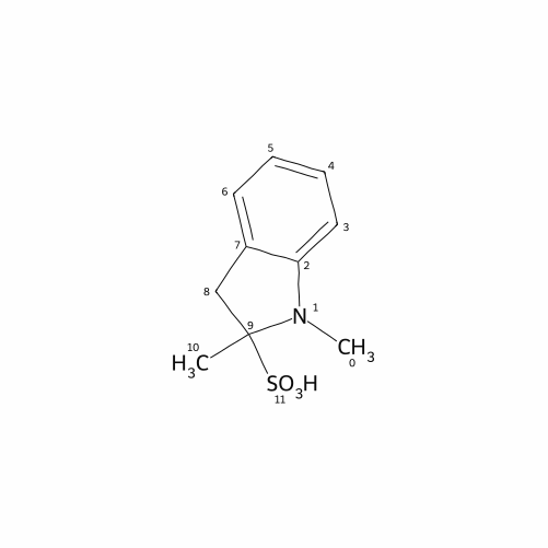 CN1c2ccccc2CC1(C)S(=O)(=O)O